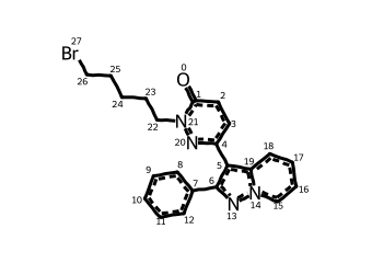 O=c1ccc(-c2c(-c3ccccc3)nn3ccccc23)nn1CCCCCBr